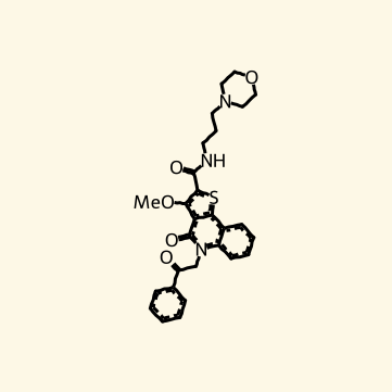 COc1c(C(=O)NCCCN2CCOCC2)sc2c1c(=O)n(CC(=O)c1ccccc1)c1ccccc21